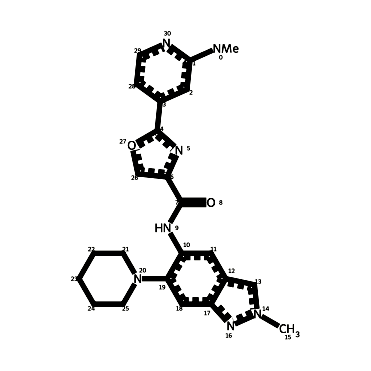 CNc1cc(-c2nc(C(=O)Nc3cc4cn(C)nc4cc3N3CCCCC3)co2)ccn1